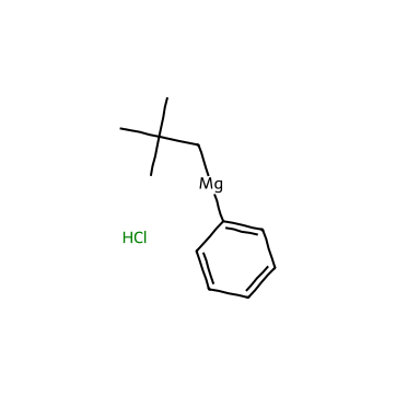 CC(C)(C)[CH2][Mg][c]1ccccc1.Cl